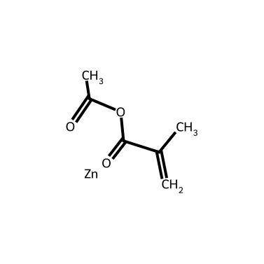 C=C(C)C(=O)OC(C)=O.[Zn]